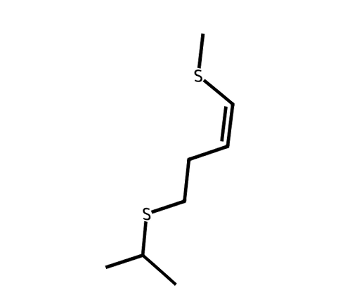 CS/C=C\CCSC(C)C